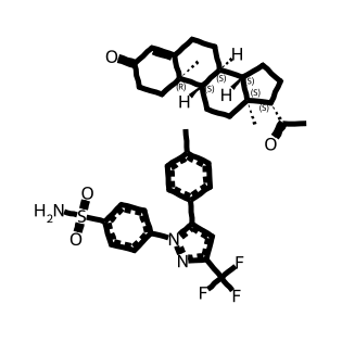 CC(=O)[C@H]1CC[C@H]2[C@@H]3CCC4=CC(=O)CC[C@]4(C)[C@H]3CC[C@]12C.Cc1ccc(-c2cc(C(F)(F)F)nn2-c2ccc(S(N)(=O)=O)cc2)cc1